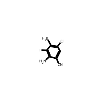 Bc1c(Cl)cc(C#N)c(N)c1F